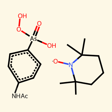 CC(=O)Nc1ccc([As](=O)(O)OO)cc1.CC1(C)CCCC(C)(C)N1[O]